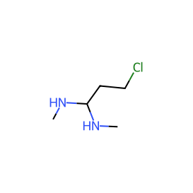 CNC(CCCl)NC